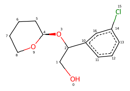 OCC(O[C@@H]1CCCCO1)c1cccc(Cl)c1